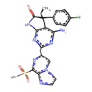 CCCS(=O)(=O)c1nc(-c2nc(N)c3c(n2)NC(=O)C3(C)c2ccc(F)cc2)cn2ccnc12